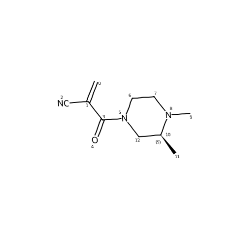 C=C(C#N)C(=O)N1CCN(C)[C@@H](C)C1